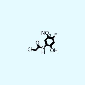 O=C(CCl)Nc1cc([N+](=O)[O-])c(F)cc1O